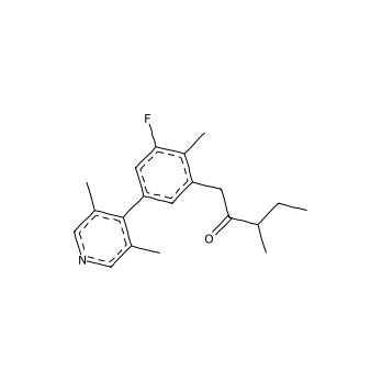 CCC(C)C(=O)Cc1cc(-c2c(C)cncc2C)cc(F)c1C